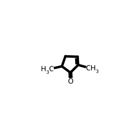 CC1=CCC(C)C1=O